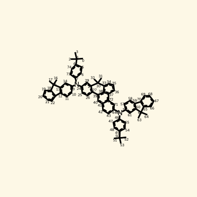 CC(C)(C)c1ccc(N(c2ccc3c(c2)C(C)(C)c2ccccc2-3)c2ccc3c(c2)C(C)(C)c2cccc4c2c-3cc2ccc(N(c3ccc(C(C)(C)C)cc3)c3ccc5c(c3)C(C)(C)c3ccccc3-5)cc24)cc1